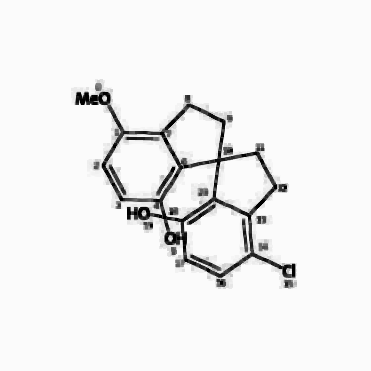 COc1ccc(O)c2c1CCC21CCc2c(Cl)ccc(O)c21